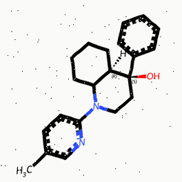 Cc1ccc(N2CC[C@@](O)(c3ccccc3)[C@@H]3CCCCC32)nc1